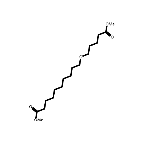 COC(=O)CCCCCCCCCOCCCCC(=O)OC